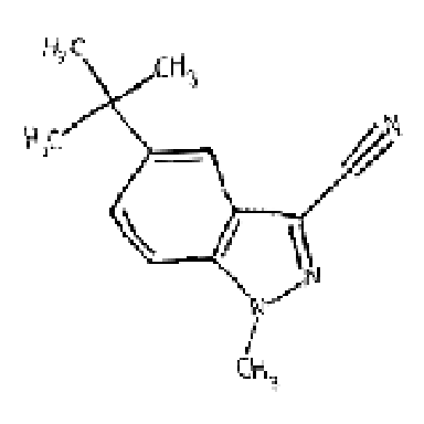 Cn1nc(C#N)c2cc(C(C)(C)C)ccc21